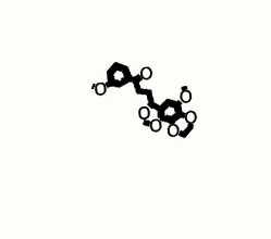 COc1cccc(C(=O)CCC(=O)c2cc(OC)c3c(c2OC)OCCO3)c1